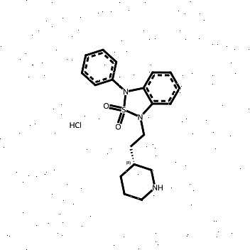 Cl.O=S1(=O)N(CC[C@H]2CCCNC2)c2ccccc2N1c1ccccc1